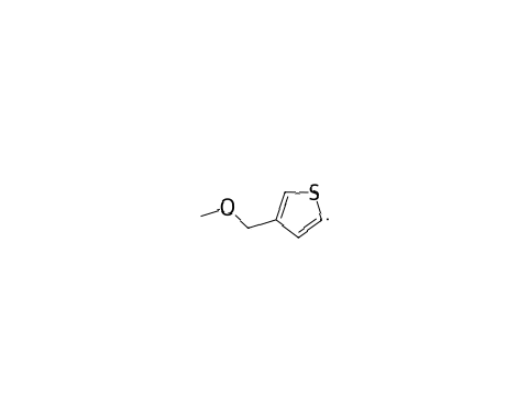 COCc1c[c]sc1